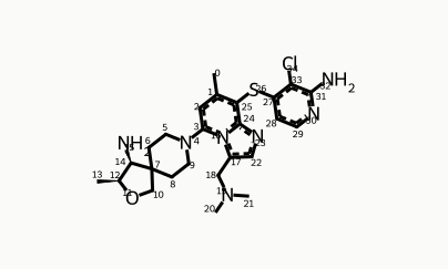 Cc1cc(N2CCC3(CC2)CO[C@@H](C)[C@H]3N)n2c(CN(C)C)cnc2c1Sc1ccnc(N)c1Cl